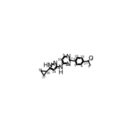 CC(=O)c1ccc(-c2nccc(Nc3cc(C4CC4)[nH]n3)n2)cc1